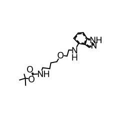 CC(C)(C)OC(=O)NCCCCOCCNc1cccc2[nH]ncc12